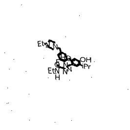 CCNC(=O)c1nnc(-c2cc(C(C)C)c(O)cc2O)n1C1=C(F)C=C(CN2CCN(CC)CC2)CC1